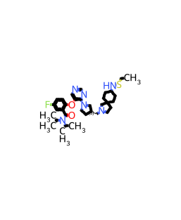 CCSNC1CCC2(CC1)CCN(C[C@@H]1CCN(c3ncncc3Oc3ccc(F)cc3C(=O)N(C(C)C)C(C)C)C1)C2